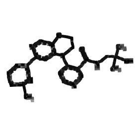 Cc1cccc(-c2cc3c(cn2)OCCN3c2ccncc2C(=O)NCC(C)(C)O)n1